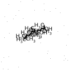 CCC(C)(O)CC(O)COC(C)(CC)C(=O)C(C)(C)CCC(C)(C)C